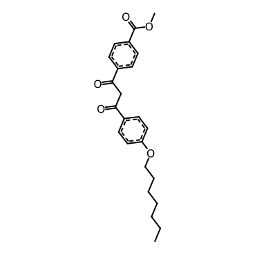 CCCCCCCOc1ccc(C(=O)CC(=O)c2ccc(C(=O)OC)cc2)cc1